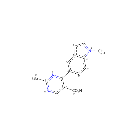 Cn1ccc2cc(-c3nc(C(C)(C)C)ncc3C(=O)O)ccc21